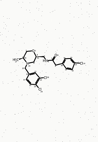 C[C@H]1CO[C@@H](CNC(=O)Cc2ccc(Cl)cc2)CN1Cc1ccc(Cl)c(Cl)c1